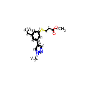 CCc1cc(SCCC(=O)OC)cc(-c2cnn(C)c2)c1